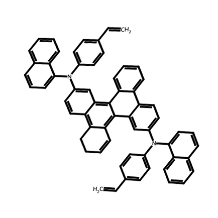 C=Cc1ccc(N(c2ccc3c4ccccc4c4c5cc(N(c6ccc(C=C)cc6)c6cccc7ccccc67)ccc5c5c(c4c3c2)C=CCC5)c2cccc3ccccc23)cc1